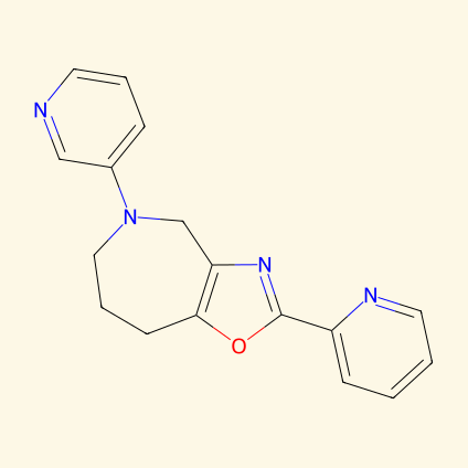 c1ccc(-c2nc3c(o2)CCCN(c2cccnc2)C3)nc1